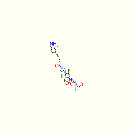 CC(=O)NC[C@H]1CN(c2cc(F)c(N3CCN(C(=O)CCCC#Cc4ccc(CN)cc4)CC3)c(F)c2F)C(=O)O1